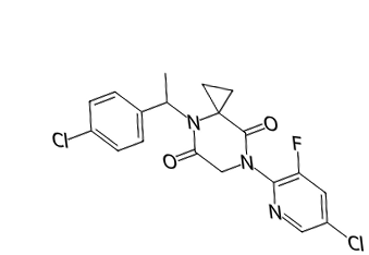 CC(c1ccc(Cl)cc1)N1C(=O)CN(c2ncc(Cl)cc2F)C(=O)C12CC2